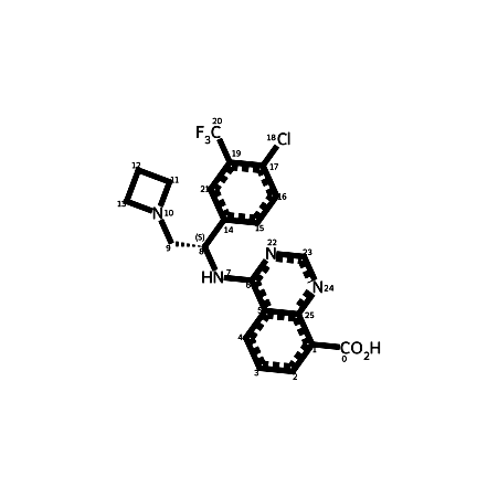 O=C(O)c1cccc2c(N[C@H](CN3CCC3)c3ccc(Cl)c(C(F)(F)F)c3)ncnc12